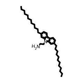 CCCCCCCCCCCCc1ccc2c3ccc(CCCCCCCCCCCC)cc3n(CCN)c2c1